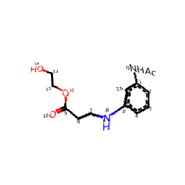 CC(=O)Nc1cccc(NCCC(=O)OCCO)c1